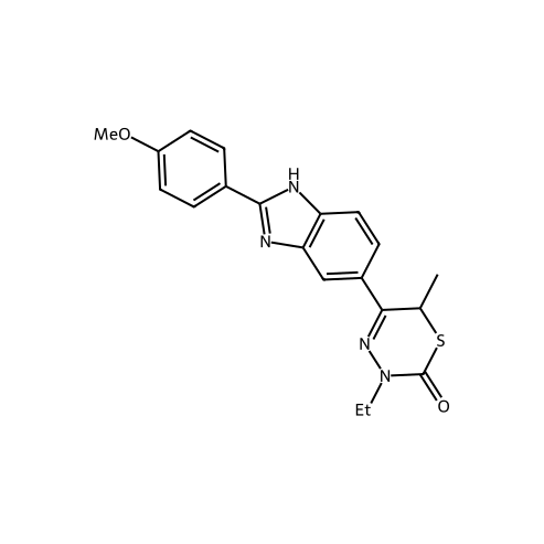 CCN1N=C(c2ccc3[nH]c(-c4ccc(OC)cc4)nc3c2)C(C)SC1=O